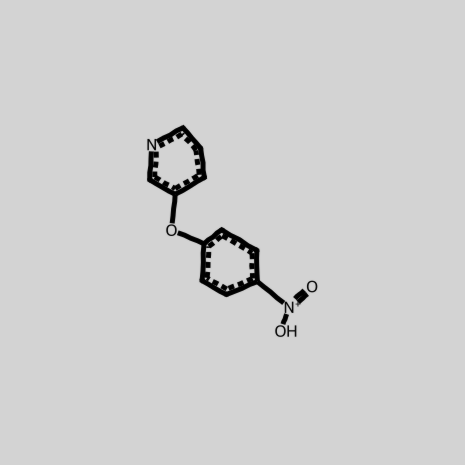 O=[N+](O)c1ccc(Oc2cccnc2)cc1